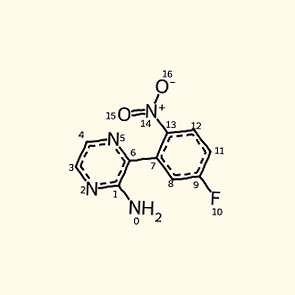 Nc1nccnc1-c1cc(F)ccc1[N+](=O)[O-]